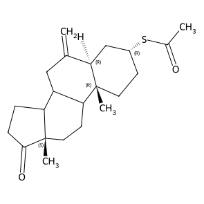 C=C1CC2C3CCC(=O)[C@@]3(C)CCC2[C@@]2(C)CC[C@@H](SC(C)=O)C[C@H]12